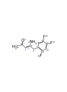 CC(=O)/C=C(\N)Cc1cc(F)c(F)cc1F